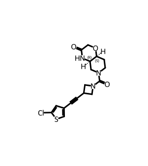 O=C1CO[C@H]2CCN(C(=O)N3CC(C#Cc4csc(Cl)c4)C3)C[C@H]2N1